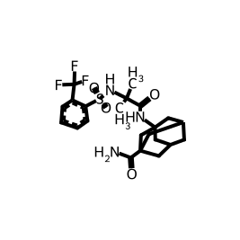 CC(C)(NS(=O)(=O)c1ccccc1C(F)(F)F)C(=O)NC12CC3CC(C1)CC(C(N)=O)(C3)C2